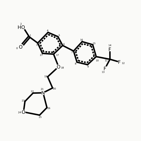 O=C(O)c1ccc(-c2ccc(C(F)(F)F)cc2)c(OCCN2CCOCC2)c1